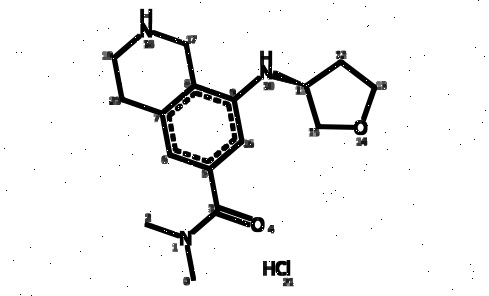 CN(C)C(=O)c1cc2c(c(N[C@H]3CCOC3)c1)CNCC2.Cl